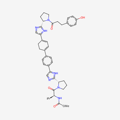 COC(=O)N[C@H](C(=O)N1CCC[C@H]1c1ncc(-c2ccc(C3=CC=C(c4cnc([C@@H]5CCCN5C(=O)CCc5ccc(O)cc5)[nH]4)CC3)cc2)[nH]1)C(C)C